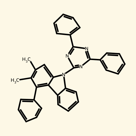 Cc1cc2c(c(-c3ccccc3)c1C)c1ccccc1n2-c1nc(-c2ccccc2)nc(-c2ccccc2)n1